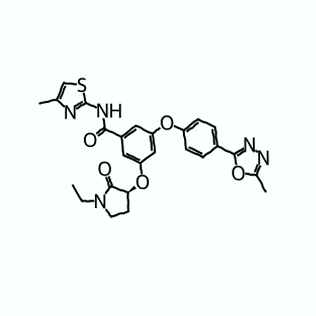 CCN1CC[C@H](Oc2cc(Oc3ccc(-c4nnc(C)o4)cc3)cc(C(=O)Nc3nc(C)cs3)c2)C1=O